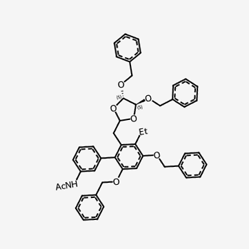 CCc1c(OCc2ccccc2)cc(OCc2ccccc2)c(-c2cccc(NC(C)=O)c2)c1CC1O[C@H](OCc2ccccc2)[C@@H](OCc2ccccc2)O1